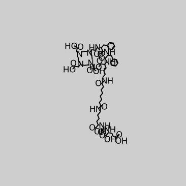 O=C(O)CCC(NC(=O)NC(CCCCNC(=O)CCCCCCC(=O)NCCCCC(NC(=O)C(Cc1ccccc1)NC(=O)C(Cc1ccccc1)NC(=O)CN1CCN(CC(=O)O)CCN(CC(=O)O)CCN(CC(=O)O)CC1)C(=O)O)C(=O)O)C(=O)O